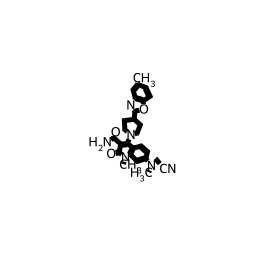 Cc1ccc2oc(C3CCN(c4c(C(N)=O)c(=O)n(C)c5cc(N(C)CC#N)ccc45)CC3)nc2c1